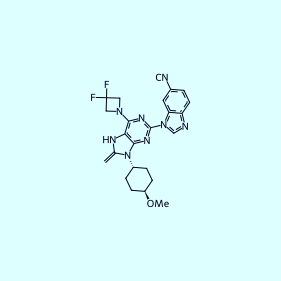 [C-]#[N+]c1ccc2ncn(-c3nc(N4CC(F)(F)C4)c4c(n3)N([C@H]3CC[C@H](OC)CC3)C(=C)N4)c2c1